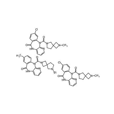 CCN1CCC2(C1)CN(C(=O)N1c3ccc(C)cc3C(=O)Nc3cccnc31)C2.CN1CC2(CCN(C(=O)N3c4cc(Cl)ccc4C(=O)Nc4cccnc43)C2)C1.CN1CC2(CCN(C(=O)N3c4ccc(Cl)cc4C(=O)Nc4cccnc43)C2)C1